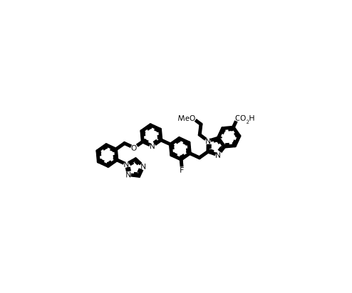 COCCn1c(Cc2ccc(-c3cccc(OCc4ccccc4-n4cncn4)n3)cc2F)nc2ccc(C(=O)O)cc21